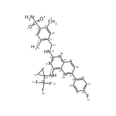 Cc1cc(S(N)(=O)=O)c(C)cc1CNc1nc(NC2(C(F)(F)F)CC2)c2nc(-c3ccc(F)cc3)ccc2n1